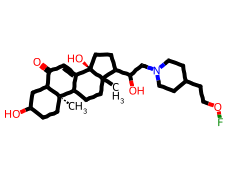 CC12CCC3C(=CC(=O)C4CC(O)CC[C@@]43C)[C@]1(O)CCC2C(O)CN1CCC(CCOF)CC1